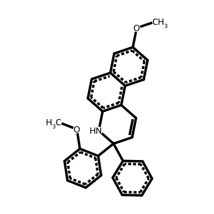 COc1ccc2c3c(ccc2c1)NC(c1ccccc1)(c1ccccc1OC)C=C3